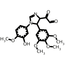 COc1ccc(N2C=NC(C(=O)C=O)C2c2cc(OC)c(OC)c(OC)c2)cc1O